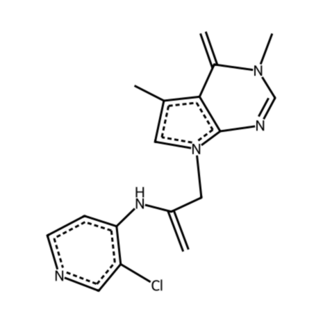 C=C(Cn1cc(C)c2c1N=CN(C)C2=C)Nc1ccncc1Cl